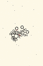 CC(=O)O[C@H]1C(=O)[C@@]2(C)C([C@H](OC(=O)c3ccccc3)[C@]3(O)C[C@H](OC(=O)[C@H](O)C(NC(=O)c4ccccc4)c4ccccc4)C(C)C1C3(C)C)[C@]1(OC(C)=O)CO[C@@H]1C[C@@H]2O